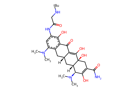 CN(C)c1cc(NC(=O)CNC(C)(C)C)c(O)c2c1C[C@H]1C[C@H]3[C@H](N(C)C)C(O)=C(C(N)=O)C[C@@]3(O)C(O)=C1C2=O